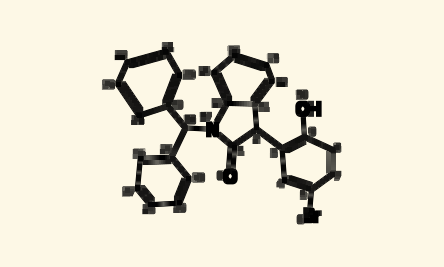 O=C1C(c2cc(Br)ccc2O)c2ccccc2N1C(c1ccccc1)c1ccccc1